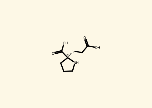 O=C(O)CS[C@@]1(C(=O)O)CCCN1